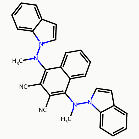 CN(c1c(C#N)c(C#N)c(N(C)n2ccc3ccccc32)c2ccccc12)n1ccc2ccccc21